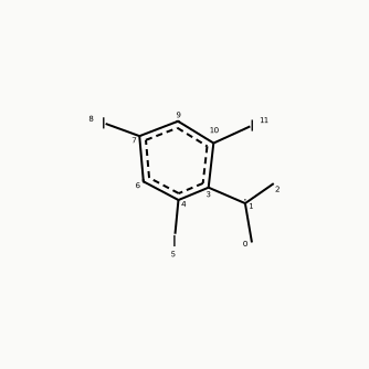 C[C](C)c1c(I)cc(I)cc1I